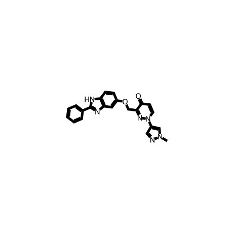 Cn1cc(-n2ccc(=O)c(COc3ccc4[nH]c(-c5ccccc5)nc4c3)n2)cn1